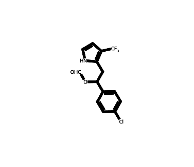 O=COC(Cc1[nH]ccc1C(F)(F)F)c1ccc(Cl)cc1